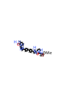 COC(=O)N[C@H](C(=O)N1CCC[C@H]1c1ncc(-c2ccc(-c3ccc(-c4cnc(CN5CCC[C@H](N)C5=O)[nH]4)cc3)cc2)[nH]1)C(C)C